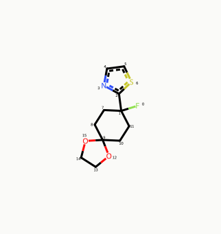 FC1(c2nccs2)CCC2(CC1)OCCO2